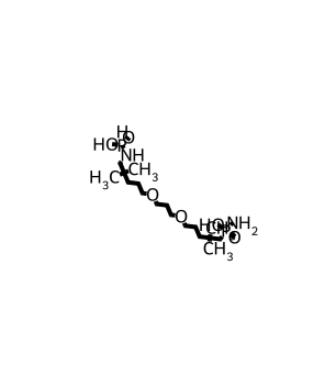 CC(C)(CCCOCCCOCCCC(C)(C)CP(N)(=O)O)CN[PH](=O)O